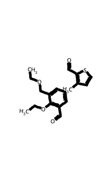 CCOCc1cccc(C=O)c1OCC.Cc1ccsc1C=O